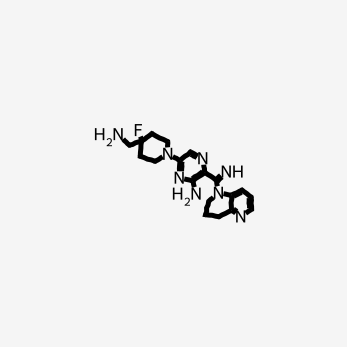 N=C(c1ncc(N2CCC(F)(CN)CC2)nc1N)N1CCCc2ncccc21